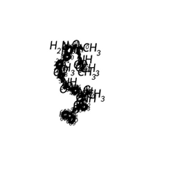 CCCN(CCCNC(=O)OC(C)(C)C)C(=O)C1=Cc2ccc(-c3cccc(S(=O)(=O)N4CC(CNC(=O)OCc5ccc(NC(=O)[C@@H](NC(=O)[C@@H]6CCCN6C(=O)OCC6c7ccccc7-c7ccccc76)C(C)C)cc5)C4)c3)cc2N=C(N)C1